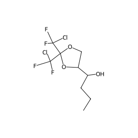 CCCC(O)C1COC(C(F)(F)Cl)(C(F)(F)Cl)O1